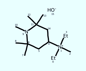 CC[N+](C)(CC)C1CC(C)(C)N(C)C(C)(C)C1.[OH-]